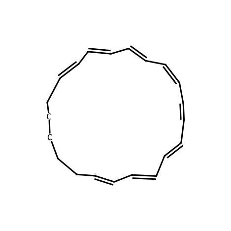 [C]1=C/C=C/C=C/C=C/C=C\C=C\C=C\C=C\CCCCC/1